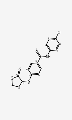 O=C(Nc1ccc(Cl)cc1)c1ccc(SC2CCOC2=O)cc1